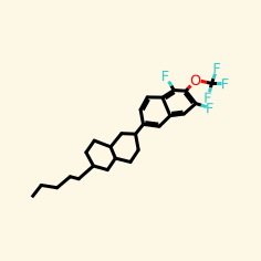 CCCCCC1CCC2CC(c3ccc4c(F)c(OC(F)(F)F)c(F)cc4c3)CCC2C1